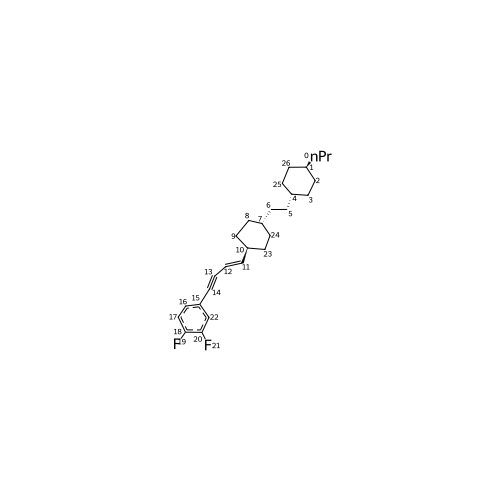 CCC[C@H]1CC[C@H](CC[C@H]2CC[C@H](C=CC#Cc3ccc(F)c(F)c3)CC2)CC1